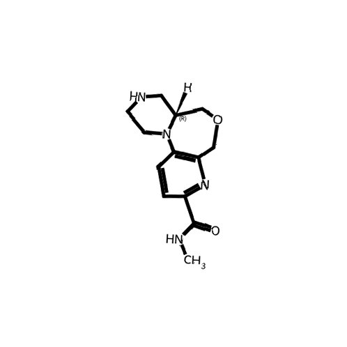 CNC(=O)c1ccc2c(n1)COC[C@H]1CNCCN21